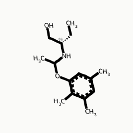 CC[C@@H](CO)NC(C)Oc1cc(C)cc(C)c1C